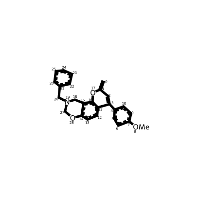 C=C1C=C(c2ccc(OC)cc2)c2ccc3c(c2O1)CN(Cc1ccccc1)CO3